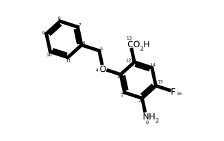 Nc1cc(OCc2ccccc2)c(C(=O)O)cc1F